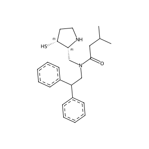 CC(C)CC(=O)N(CC(c1ccccc1)c1ccccc1)C[C@H]1NCC[C@H]1S